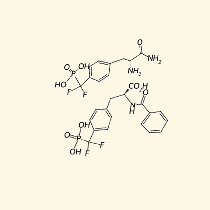 NC(=O)[C@H](N)Cc1ccc(C(F)(F)P(=O)(O)O)cc1.O=C(N[C@@H](Cc1ccc(C(F)(F)P(=O)(O)O)cc1)C(=O)O)c1ccccc1